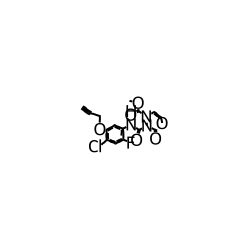 C#CCOc1cc(NC(=O)N2C(=O)OC=CN2C(=O)OC)c(F)cc1Cl